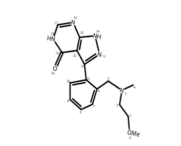 COCCN(C)Cc1ccccc1-c1n[nH]c2nc[nH]c(=O)c12